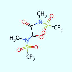 CN(C(=O)C(=O)N(C)S(=O)(=O)C(F)(F)F)S(=O)(=O)C(F)(F)F